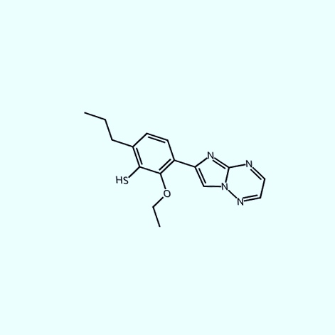 CCCc1ccc(-c2cn3nccnc3n2)c(OCC)c1S